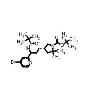 CC(C)(C)OC(=O)N1C[C@@H](CCC(N[S+]([O-])C(C)(C)C)c2cc(Br)ccn2)CC1(C)C